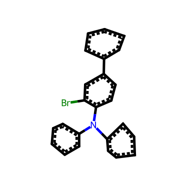 Brc1cc(-c2ccccc2)ccc1N(c1ccccc1)c1ccccc1